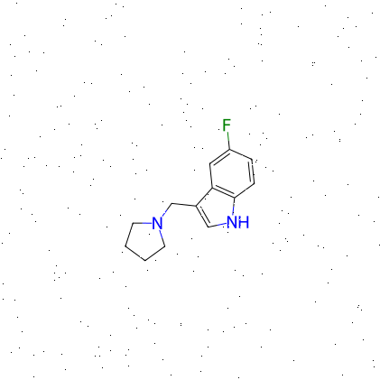 Fc1ccc2[nH]cc(CN3CCCC3)c2c1